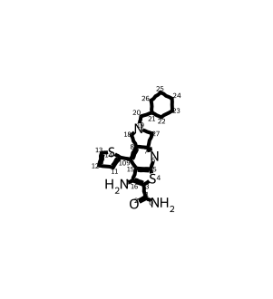 NC(=O)c1sc2nc3c(c(-c4cccs4)c2c1N)CN(CC1CCCCC1)C3